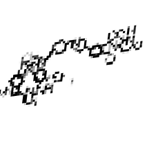 C=CC(=O)Nc1cc(Nc2nccc(-c3cn(C)c4ccccc34)n2)c(OC)cc1N(C)CCN1CCC(CN2CCC(c3ccc4c(c3)C(=O)N(C3CCC(=O)NC3=O)C4=O)CC2)CC1